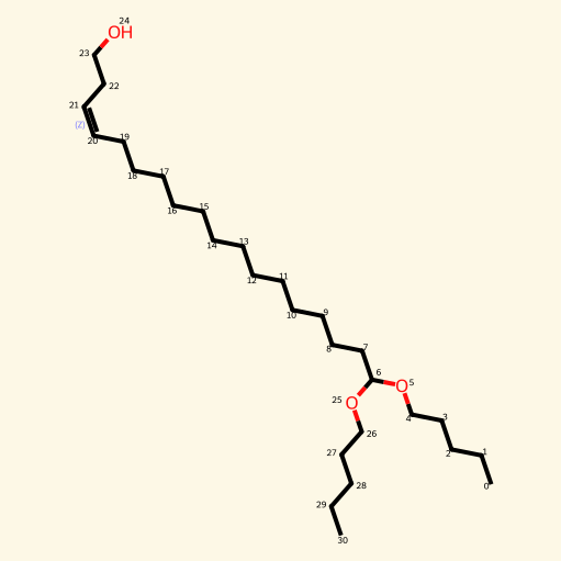 CCCCCOC(CCCCCCCCCCCCC/C=C\CCO)OCCCCC